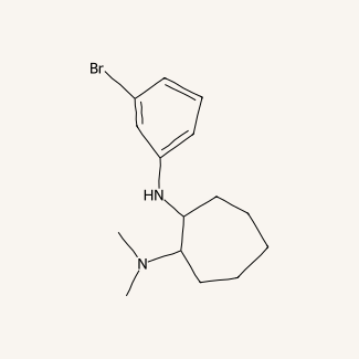 CN(C)C1CCCCCC1Nc1cccc(Br)c1